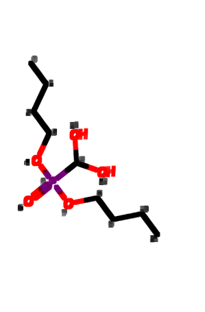 CCCCOP(=O)(OCCCC)C(O)O